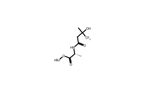 CCCCOC(=O)[C@@H](C)NC(=O)CC(C)(O)C(F)(F)F